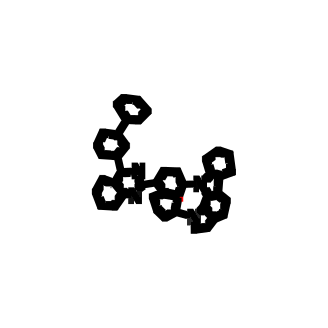 c1ccc(-c2cccc(-c3nc(-c4ccc(-n5c6ccccc6c6ccc7ccn(-c8ccccc8)c7c65)cc4)nc4ccccc34)c2)cc1